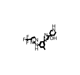 Cc1cc(Nc2nccc(C(F)(F)F)n2)cc(-n2cnc(C3(O)CCNCC3)c2)c1